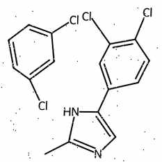 Cc1ncc(-c2ccc(Cl)c(Cl)c2)[nH]1.Clc1cccc(Cl)c1